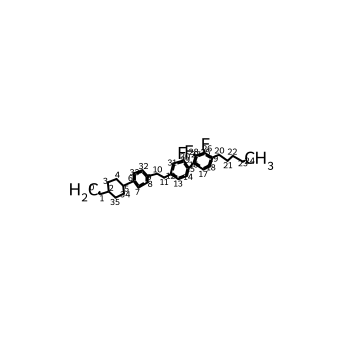 C=CC1CCC(c2ccc(CCc3ccc(-c4ccc(CCCCC)c(F)c4F)c(F)c3)cc2)CC1